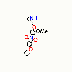 COc1cc(N2C(=O)c3ccc(OC4C=CCCC4)cc3C2=O)ccc1OCCC1CCCN1